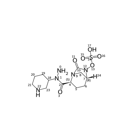 NN(C(=O)[C@@H]1CC[C@@H]2CN1C(=O)N2OS(=O)(=O)O)C1CCCNC1